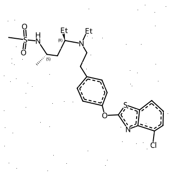 CC[C@H](C[C@H](C)NS(C)(=O)=O)N(CC)CCc1ccc(Oc2nc3c(Cl)cccc3s2)cc1